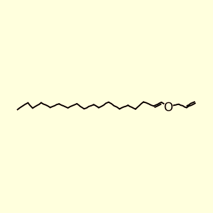 C=CCOC=CCCCCCCCCCCCCCCCC